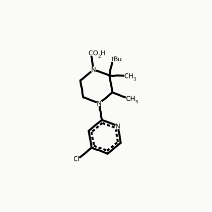 CC1N(c2cc(Cl)ccn2)CCN(C(=O)O)C1(C)C(C)(C)C